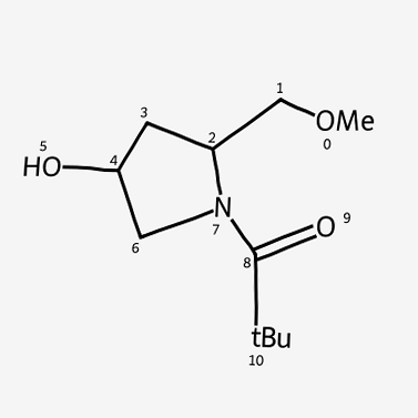 COCC1CC(O)CN1C(=O)C(C)(C)C